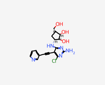 Nc1nc(Cl)c(C#Cc2cccnc2)c(N[C@@H]2C[C@H](CO)[C@@H](O)[C@H]2O)n1